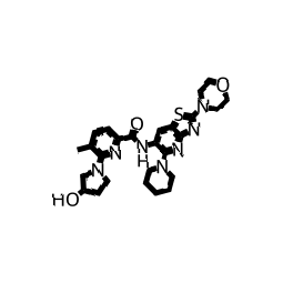 Cc1ccc(C(=O)Nc2cc3sc(N4CCOCC4)nc3nc2N2CCCCC2)nc1N1CCC(O)C1